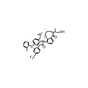 Cc1ccccc1Sc1ccc(CN(C)C[C@H]2Oc3c(NC(=O)Cc4ccc(C(F)(F)F)cc4)cccc3C(=O)N(C(C)CO)C[C@H]2C)cc1